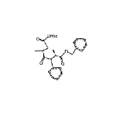 COC(=O)CC(C)C(=O)N(c1ccccc1)[C@@H](C)C(=O)OCc1ccccc1